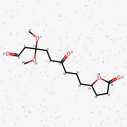 COC(CC=O)(CCC(=O)CCCC1CCC(=O)O1)OC